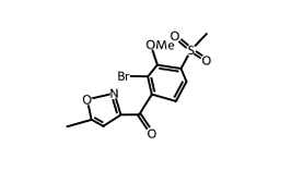 COc1c(S(C)(=O)=O)ccc(C(=O)c2cc(C)on2)c1Br